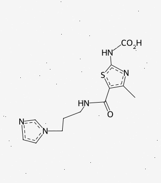 Cc1nc(NC(=O)O)sc1C(=O)NCCCn1ccnc1